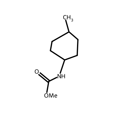 COC(=O)NC1CCC(C)CC1